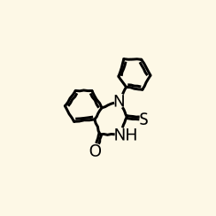 O=c1[nH]c(=S)n(-c2ccccc2)c2ccccc12